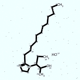 CCCCCCCCCCCCC1=NCCN1C(CC)C(C)O.Cl